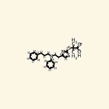 CC(C)(Sc1nc(CCN(CCCc2ccccc2)c2ccccc2)cs1)C(=O)O